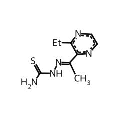 CCc1nccnc1C(C)=NNC(N)=S